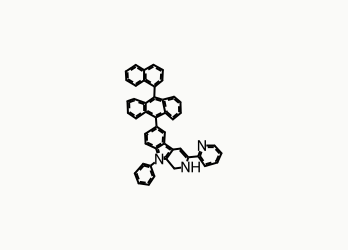 C1=C(c2ccccn2)NCc2c1c1cc(-c3c4ccccc4c(-c4cccc5ccccc45)c4ccccc34)ccc1n2-c1ccccc1